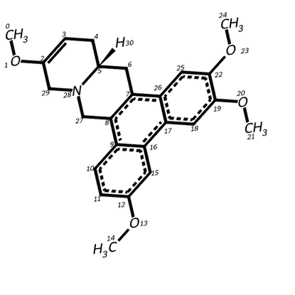 COC1=CC[C@@H]2Cc3c(c4ccc(OC)cc4c4cc(OC)c(OC)cc34)CN2C1